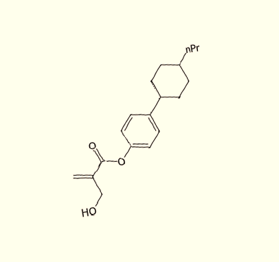 C=C(CO)C(=O)Oc1ccc(C2CCC(CCC)CC2)cc1